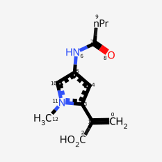 C=C(C(=O)O)c1cc(NC(=O)CCC)cn1C